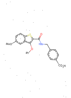 COc1ccc2sc(C(=O)NCc3ccc(C(=O)O)cc3)c(OC(C)C)c2c1